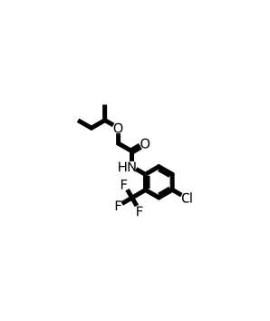 CCC(C)OCC(=O)Nc1ccc(Cl)cc1C(F)(F)F